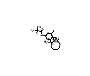 CC(C)(C)C(=O)Oc1cc(F)c2c(c1)[C@@]1(C)CCCCC[C@@H](C2)[C@@H]1N